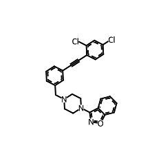 Clc1ccc(C#Cc2cccc(CN3CCN(c4noc5ccccc45)CC3)c2)c(Cl)c1